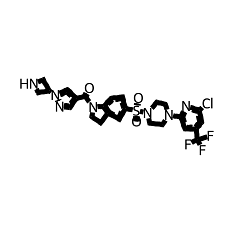 O=C(c1cnn(C2CNC2)c1)N1CCc2cc(S(=O)(=O)N3CCN(c4cc(C(F)(F)F)cc(Cl)n4)CC3)ccc21